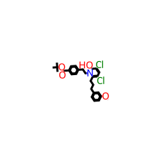 COc1cccc(CCCC2=C(Cl)C=C(Cl)C(O)N2CCc2ccc(C(=O)OC(C)(C)C)cc2)c1